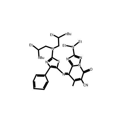 CCCCC(CC)CN(CC(CC)CCCC)c1nc(-c2ccccc2)c(/N=C2/C(C)=C(C#N)C(=O)n3nc(N(CC)CC)nc32)s1